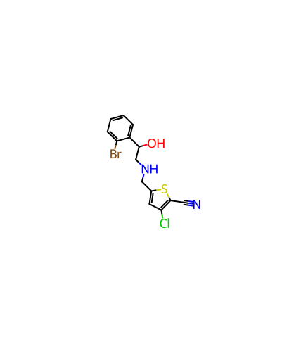 N#Cc1sc(CNCC(O)c2ccccc2Br)cc1Cl